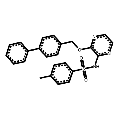 Cc1ccc(S(=O)(=O)Nc2nccnc2OCc2ccc(-c3ccccc3)cc2)cc1